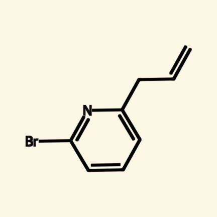 C=CCc1cccc(Br)n1